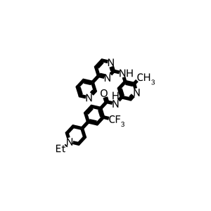 CCN1CCC(c2ccc(C(=O)Nc3cnc(C)c(Nc4nccc(-c5cccnc5)n4)c3)c(C(F)(F)F)c2)CC1